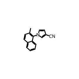 Cc1ccc2ccccc2c1-n1ccc(C#N)c1